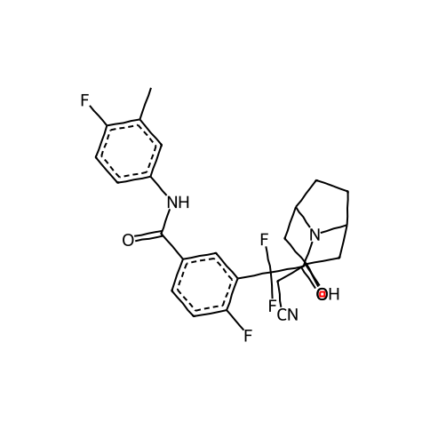 Cc1cc(NC(=O)c2ccc(F)c(C(F)(F)C(=O)N3C4CCC3CC(O)(CC#N)C4)c2)ccc1F